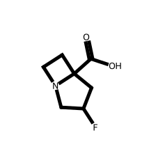 O=C(O)C12CCN1CC(F)C2